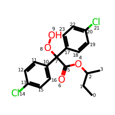 CCC(C)OC(=O)C(OO)(c1ccc(Cl)cc1)c1ccc(Cl)cc1